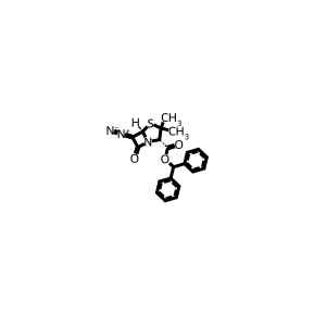 CC1(C)S[C@@H]2C(=[N+]=[N-])C(=O)N2[C@H]1C(=O)OC(c1ccccc1)c1ccccc1